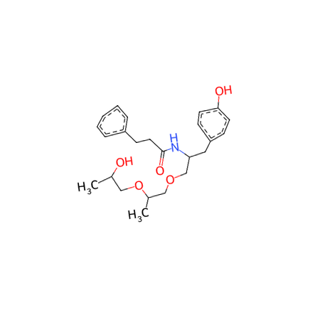 CC(O)COC(C)COCC(Cc1ccc(O)cc1)NC(=O)CCc1ccccc1